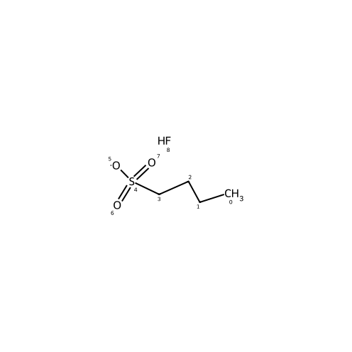 CCCCS([O])(=O)=O.F